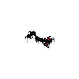 CC(C)(C)C[C@@H]1N[C@@H](C(=O)N[C@H]2CC[C@H](C(=O)N3CCC(C#Cc4cccc5c4CN(C4CCC(=O)NC4=O)C5=O)CC3)CC2)[C@H](c2cccc(Cl)c2F)[C@]12C(=O)Nc1cc(Cl)ccc12